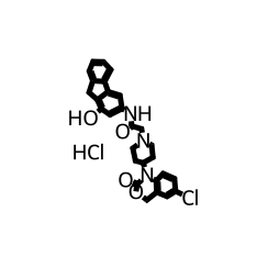 Cl.O=C(CN1CCC(N2C(=O)OCc3cc(Cl)ccc32)CC1)Nc1cc(O)c2c(c1)-c1ccccc1C2